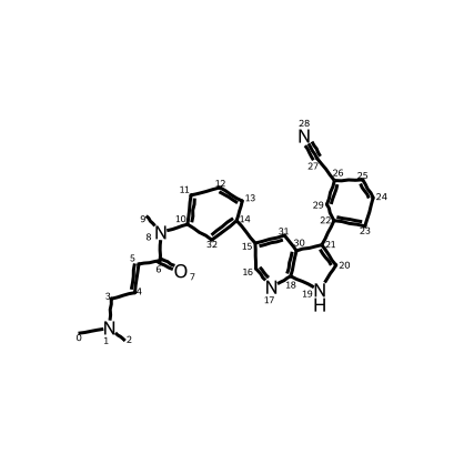 CN(C)C/C=C/C(=O)N(C)c1cccc(-c2cnc3[nH]cc(-c4cccc(C#N)c4)c3c2)c1